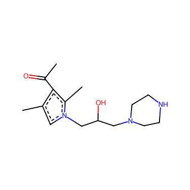 CC(=O)c1c(C)cn(CC(O)CN2CCNCC2)c1C